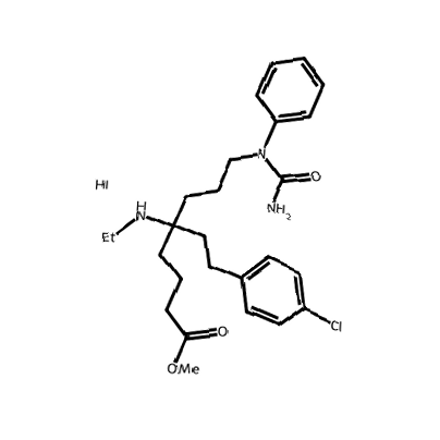 CCNC(CCCC(=O)OC)(CCCN(C(N)=O)c1ccccc1)CCc1ccc(Cl)cc1.I